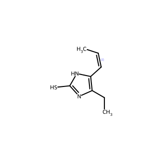 C/C=C\c1[nH]c(S)nc1CC